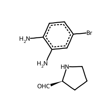 Nc1ccc(Br)cc1N.O=C[C@@H]1CCCN1